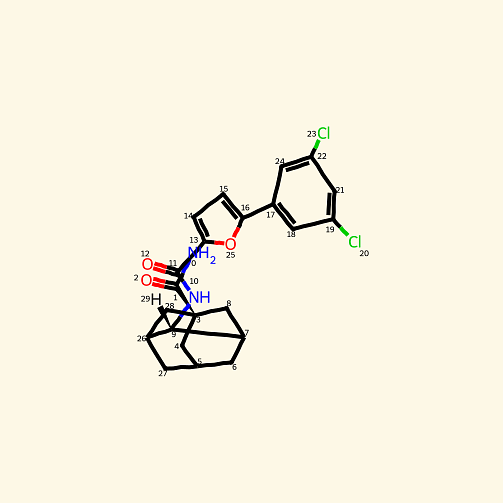 NC(=O)[C@]12CC3CC(C1)[C@@H](NC(=O)c1ccc(-c4cc(Cl)cc(Cl)c4)o1)C(C3)C2